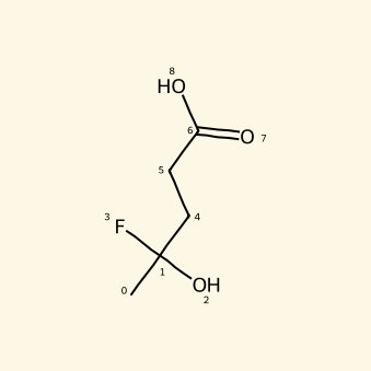 CC(O)(F)CCC(=O)O